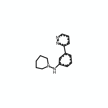 c1cc(NN2CCCCC2)cc(-c2cccnn2)c1